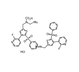 CC(C)(C)CN(Cc1cc(-c2cccnc2F)c(S(=O)(=O)c2ccccc2)s1)C(=O)O.CNCc1cc(-c2cccnc2F)c(S(=O)(=O)c2ccccc2)s1.Cl